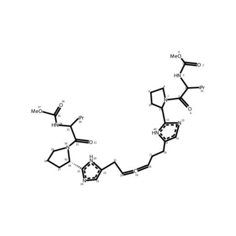 COC(=O)NC(C(=O)N1CCCC1c1ncc(CCC=C=CCc2cnc([C@@H]3CCCN3C(=O)C(NC(=O)OC)C(C)C)[nH]2)[nH]1)C(C)C